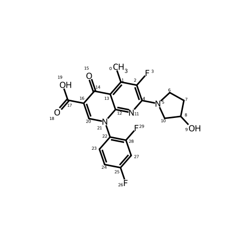 Cc1c(F)c(N2CCC(O)C2)nc2c1c(=O)c(C(=O)O)cn2-c1ccc(F)cc1F